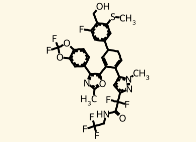 CSc1cc(C2C=C(c3oc(C)nc3-c3ccc4c(c3)OC(F)(F)O4)C(c3cc(C(F)(F)C(=O)NCC(F)(F)F)nn3C)=CC2)cc(F)c1CO